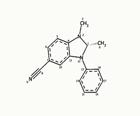 C[C@H]1N(C)c2ccc(C#N)cc2N1c1ccccc1